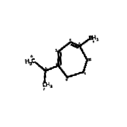 BC1=CC=C(C(C)C)CCC1